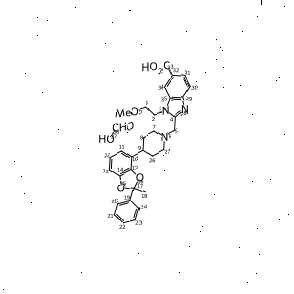 COCCn1c(CN2CCC(c3cccc4c3OC(C)(c3ccccc3)O4)CC2)nc2ccc(C(=O)O)cc21.O=CO